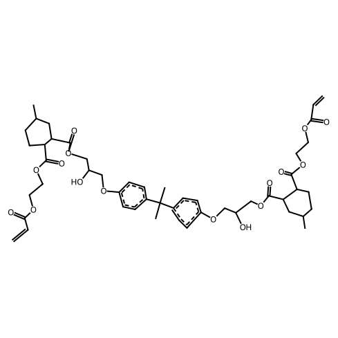 C=CC(=O)OCCOC(=O)C1CCC(C)CC1C(=O)OCC(O)COc1ccc(C(C)(C)c2ccc(OCC(O)COC(=O)C3CC(C)CCC3C(=O)OCCOC(=O)C=C)cc2)cc1